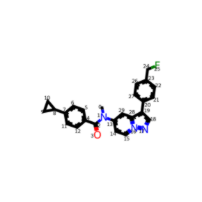 CN(C(=O)c1ccc(C2CC2)cc1)c1ccn2ncc(-c3ccc(CF)cc3)c2c1